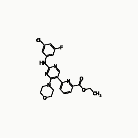 CCOC(=O)c1cccc(-c2cnc(Nc3cc(F)cc(Cl)c3)nc2N2CCOCC2)n1